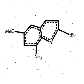 COc1cc(N)c2nc(C(C)(C)C)ccc2c1